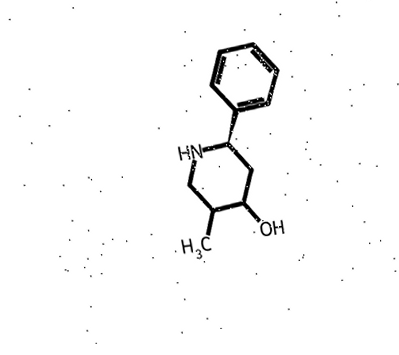 CC1CN[C@@H](c2ccccc2)CC1O